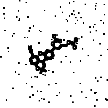 CC1(C)C=C(n2ccc(C(CCCO[N+](=O)[O-])O[N+](=O)[O-])cc2=O)c2cc(C#N)ccc2O1